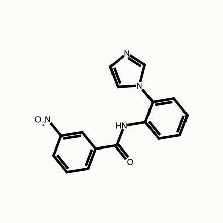 O=C(Nc1ccccc1-n1ccnc1)c1cccc([N+](=O)[O-])c1